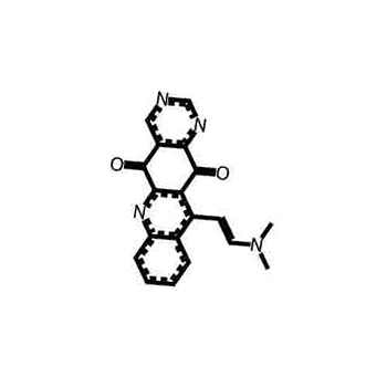 CN(C)/C=C/c1c2c(nc3ccccc13)C(=O)c1cncnc1C2=O